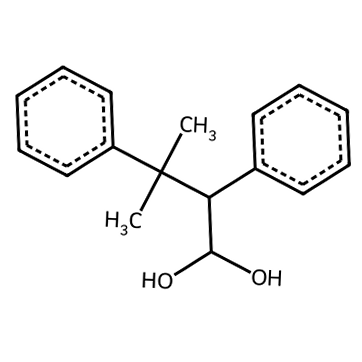 CC(C)(c1ccccc1)C(c1ccccc1)C(O)O